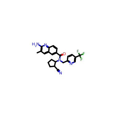 Cc1cc2cc(C(=O)N(Cc3ccc(C(F)(F)F)cn3)C3CCCC3C#N)ccc2nc1N